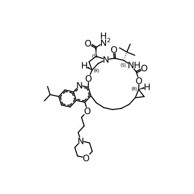 CC(C)c1ccc2c(OCCCN3CCOCC3)c3c(nc2c1)O[C@@H]1C[C@@H](C(N)=O)N(C1)C(=O)[C@H](C(C)(C)C)NC(=O)O[C@@H]1CC1CCCCC3